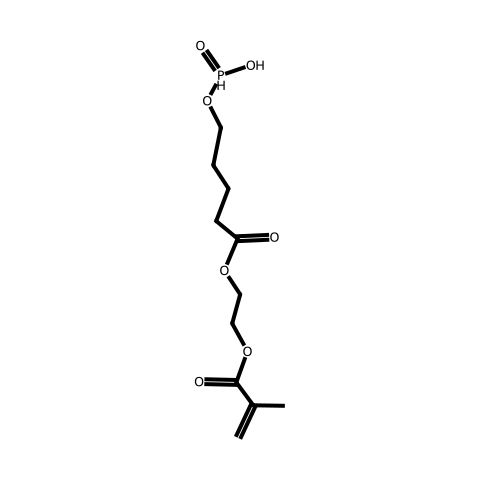 C=C(C)C(=O)OCCOC(=O)CCCCO[PH](=O)O